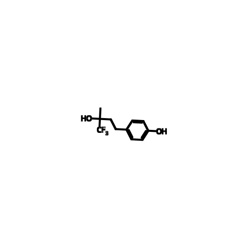 CC(O)(CCc1ccc(O)cc1)C(F)(F)F